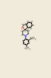 O=[N+]([O-])c1cc(C(F)(F)F)ccc1N1CCC2(CC1)OCc1ccccc12